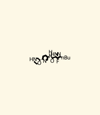 CCCCc1n[nH]c(C(=O)Nc2ccc([C@H]3CNCCO3)nc2)c1F